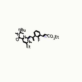 C=C(/C=C1/N=C(C(=O)N(C)C(C)CCCC)C=C(CC)N1C)c1cccc(/C=C/C(=O)OCC)c1F